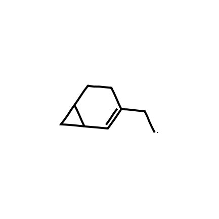 [CH2]CC1=CC2CC2CC1